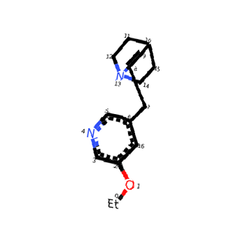 CCOc1cncc(CC2=CC3CCN2CC3)c1